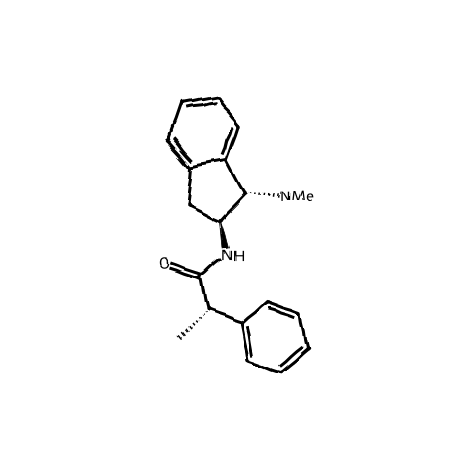 CN[C@H]1c2ccccc2C[C@@H]1NC(=O)[C@@H](C)c1ccccc1